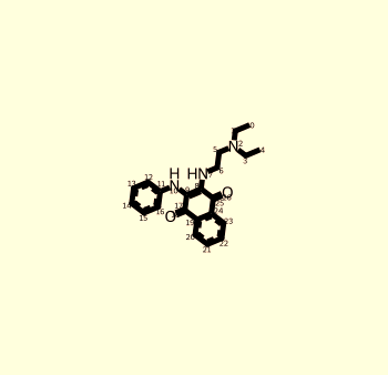 CCN(CC)CCNC1=C(Nc2ccccc2)C(=O)c2ccccc2C1=O